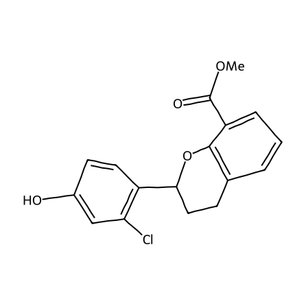 COC(=O)c1cccc2c1OC(c1ccc(O)cc1Cl)CC2